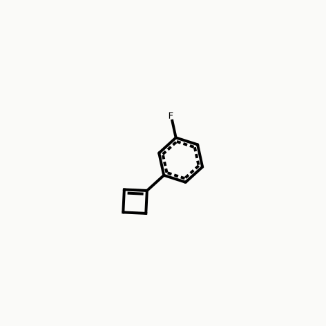 Fc1cccc(C2=CCC2)c1